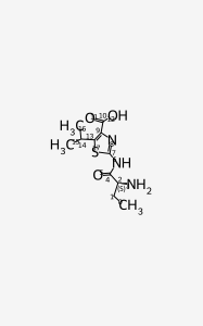 CC[C@H](N)C(=O)Nc1nc(C(=O)O)c(C(C)C)s1